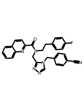 N#Cc1ccc(Cn2cnnc2CN(CCc2ccc(F)cc2)C(=O)c2ccc3ccccc3n2)cc1